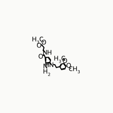 COC(=O)CCNC(=O)c1ccc(NCCc2ccc(OC)c(OC)c2)c(N)c1